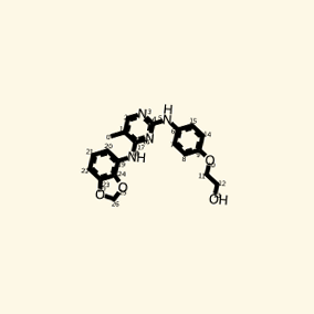 Cc1cnc(Nc2ccc(OCCO)cc2)nc1Nc1cccc2c1OCO2